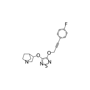 Fc1ccc(C#CCOc2nsnc2OC2CN3CCC2C3)cc1